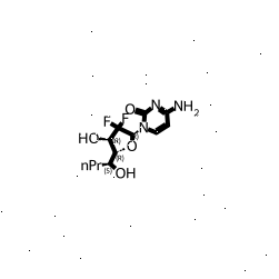 CCC[C@H](O)[C@H]1O[C@@H](n2ccc(N)nc2=O)C(F)(F)[C@@H]1O